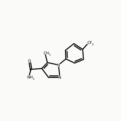 Cc1c(C(N)=O)cnn1-c1ccc(C(F)(F)F)cc1